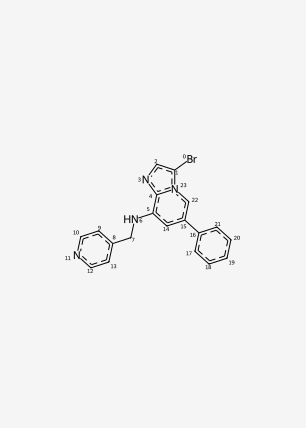 Brc1cnc2c(NCc3ccncc3)cc(-c3ccccc3)cn12